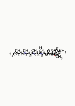 CC(C)=CCC/C(C)=C/CC/C(C)=C/CC/C(C)=C/COC(=O)NC12CC3CC4(C)CC(C)(C1)C34C2